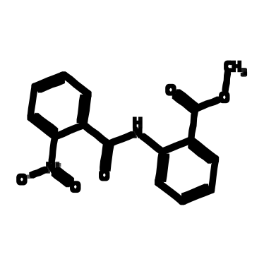 COC(=O)c1ccccc1NC(=O)c1ccccc1[N+](=O)[O-]